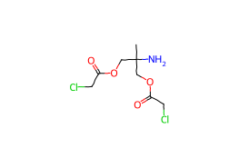 CC(N)(COC(=O)CCl)COC(=O)CCl